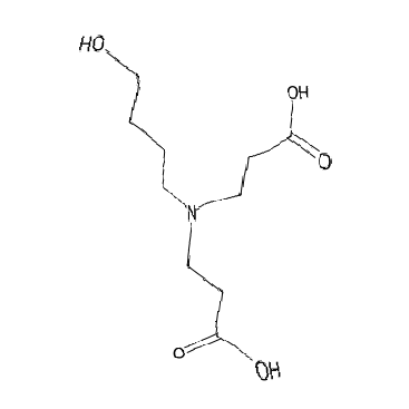 O=C(O)CCN(CCCCO)CCC(=O)O